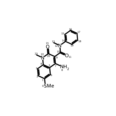 CSc1ccc2c(c1)c(N)c(C(=O)N(C)c1ccccc1)c(=O)n2C